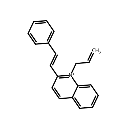 C=CC[n+]1c(C=Cc2ccccc2)ccc2ccccc21